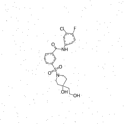 O=C(Nc1ccc(F)c(Cl)c1)c1cccc(S(=O)(=O)N2CCC(O)(CCO)CC2)c1